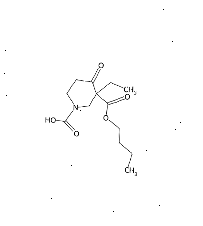 CCCCOC(=O)C1(CC)CN(C(=O)O)CCC1=O